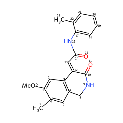 COc1cc2c(cc1C)CNC(=O)/C2=C\C(=O)Nc1ccccc1C